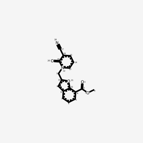 COC(=O)c1cccc2cc(Cn3cccc(C#N)c3=O)oc12